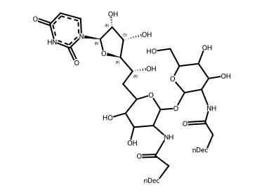 CCCCCCCCCCCC(=O)NC1C(OC2OC(C[C@@H](O)[C@H]3O[C@@H](n4ccc(=O)[nH]c4=O)[C@H](O)[C@@H]3O)C(O)C(O)C2NC(=O)CCCCCCCCCCC)OC(CO)C(O)C1O